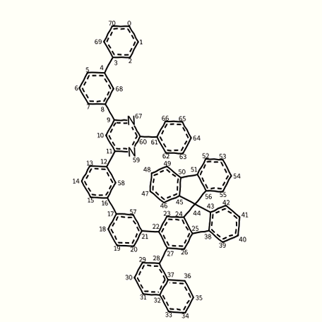 c1ccc(-c2cccc(-c3cc(-c4cccc(-c5cccc(-c6cc7c(cc6-c6cccc8ccccc68)-c6ccccc6C76c7ccccc7-c7ccccc76)c5)c4)nc(-c4ccccc4)n3)c2)cc1